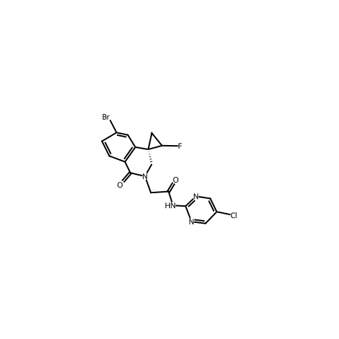 O=C(CN1C[C@@]2(CC2F)c2cc(Br)ccc2C1=O)Nc1ncc(Cl)cn1